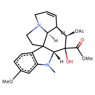 CC[C@]12C=CCN3CCC4(c5ccc(OC)cc5N(C)[C@H]4C(O)(C(=O)OC)[C@@H]1OC(C)=O)[C@@H]32